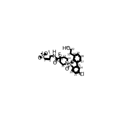 C[C@@H](/C=C\S(C)(=O)=O)NC(=O)C1(F)CCN(S(=O)(=O)c2ccc(Cl)cc2-c2cccc(CCO)c2)CC1